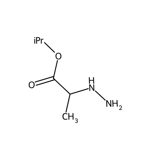 CC(C)OC(=O)C(C)NN